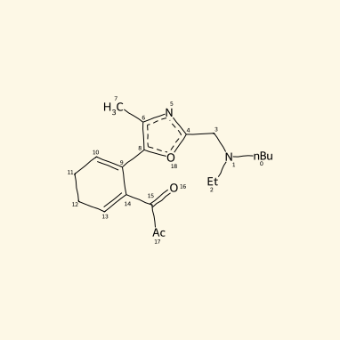 CCCCN(CC)Cc1nc(C)c(C2=CCCC=C2C(=O)C(C)=O)o1